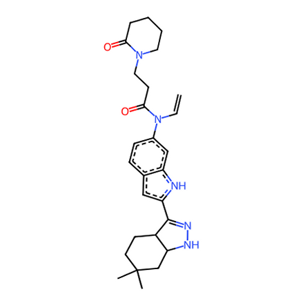 C=CN(C(=O)CCN1CCCCC1=O)c1ccc2cc(C3=NNC4CC(C)(C)CCC34)[nH]c2c1